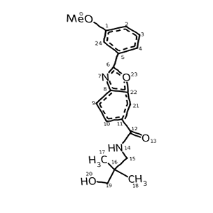 COc1cccc(-c2nc3ccc(C(=O)NCC(C)(C)CO)cc3o2)c1